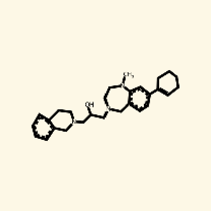 CN1CCN(CC(O)CN2CCc3ccccc3C2)Cc2ccc(C3=CCCCC3)cc21